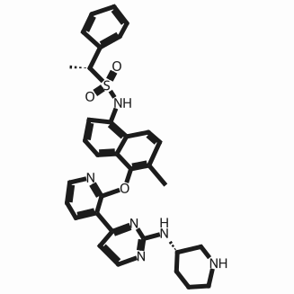 Cc1ccc2c(NS(=O)(=O)[C@H](C)c3ccccc3)cccc2c1Oc1ncccc1-c1ccnc(N[C@H]2CCCNC2)n1